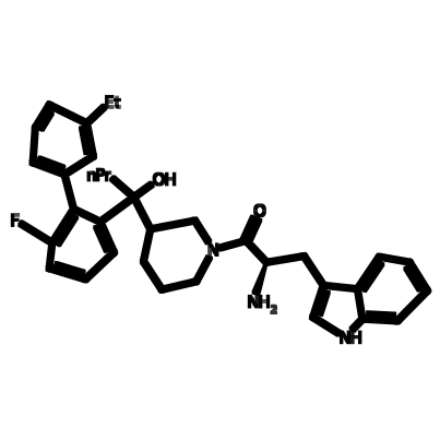 [CH2]CCC(O)(c1cccc(F)c1-c1cccc(CC)c1)C1CCCN(C(=O)[C@H](N)Cc2c[nH]c3ccccc23)C1